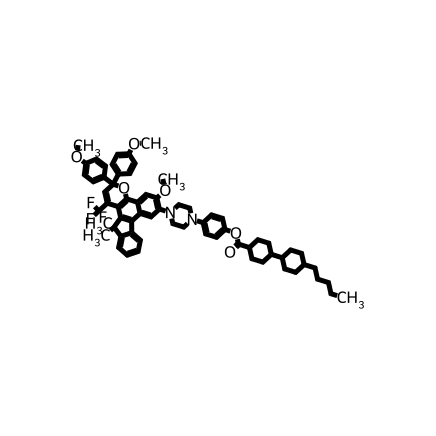 CCCCCC1CCC(C2CCC(C(=O)Oc3ccc(N4CCN(c5cc6c7c(c8c(c6cc5OC)OC(c5ccc(OC)cc5)(c5ccc(OC)cc5)C=C8C(F)(F)F)C(C)(C)c5ccccc5-7)CC4)cc3)CC2)CC1